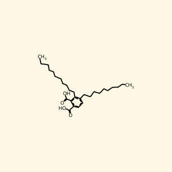 CCCCCCCCCCCc1c(CCCCCCCCCC)ccc(C(=O)O)c1C(=O)O